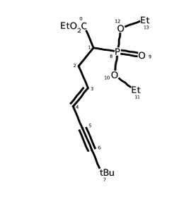 CCOC(=O)C(CC=CC#CC(C)(C)C)P(=O)(OCC)OCC